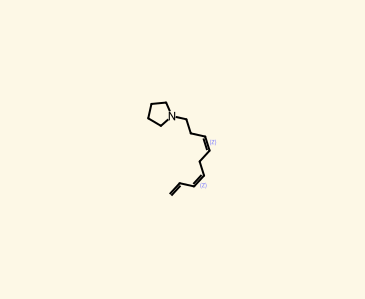 C=C/C=C\C/C=C\CCN1CCCC1